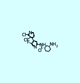 N[C@@H]1CCC[C@H](C(=O)Nc2cc(-c3ccnc(Cl)c3Cl)c(F)cn2)C1